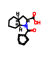 O=C(O)[C@@H]1C[C@@H]2CCCC[C@@H]2N1C(=O)c1ccccc1